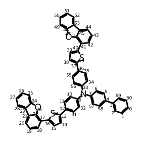 c1ccc(-c2ccc(N(c3ccc(-c4ccc(-c5cccc6c5oc5ccccc56)s4)cc3)c3ccc(-c4ccc(-c5cccc6c5oc5ccccc56)s4)cc3)cc2)cc1